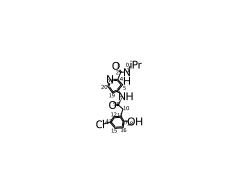 CC(C)NC(=O)c1cc(NC(=O)Cc2cc(Cl)ccc2O)ccn1